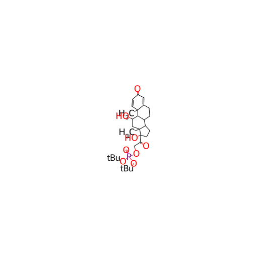 CC(C)(C)OP(=O)(OCC(=O)C1(O)CCC2C3CCC4=CC(=O)C=CC4(C)C3C(O)CC21C)OC(C)(C)C